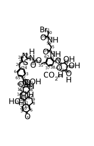 C[C@]12C=CC(=O)C=C1CC[C@@H]1[C@@H]2[C@@H](O)C[C@@]2(C)[C@H]1C[C@H]1OC(c3ccc(Cc4cnc(NC(=O)OCc5ccc(O[C@@H]6O[C@H](C(=O)O)[C@@H](O)[C@H](O)[C@H]6O)c(NC(=O)CCNC(=O)CBr)c5)s4)cc3)O[C@]12C(=O)CO